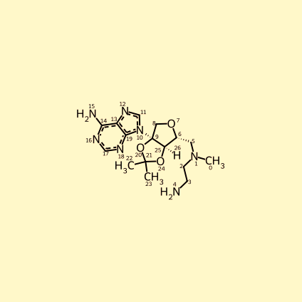 CN(CCN)C[C@H]1OC[C@]2(n3cnc4c(N)ncnc43)OC(C)(C)O[C@H]12